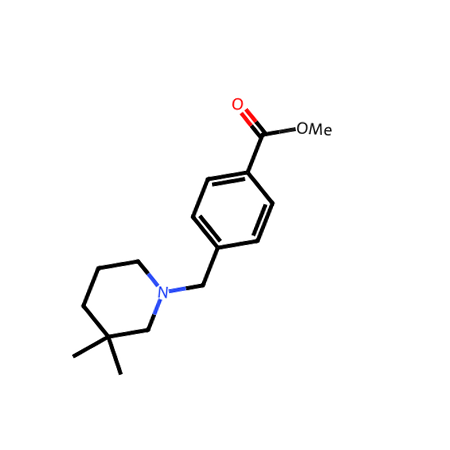 COC(=O)c1ccc(CN2CCCC(C)(C)C2)cc1